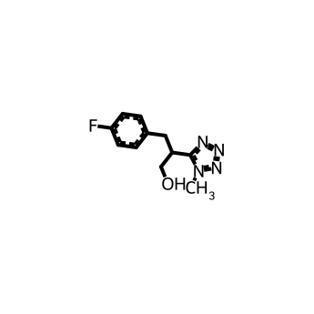 Cn1nnnc1C(CO)Cc1ccc(F)cc1